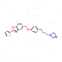 c1csc(-c2nc3cc(COc4ccc(CCCCn5ccnc5)cc4)ccc3o2)c1